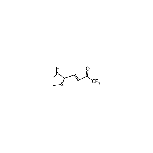 O=C(C=CC1NCCS1)C(F)(F)F